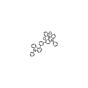 c1ccc(N2c3cccc4c3B3c5c(cccc5Oc5c(-c6cccc(-c7cccc8c7c7ccccc7n8-c7ccccc7)c6)ccc2c53)O4)cc1